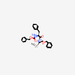 O=C(N[C@@H](Cc1ccccc1)C(=O)N[C@@H](COCc1ccccc1)C(=O)O)OCc1ccccc1